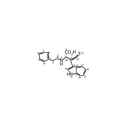 O=C(O)[C@@H](NSCc1ccccc1)C(=C=S)c1c[nH]c2ccccc12